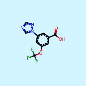 O=C(O)c1cc(OC(F)(F)F)cc(-n2cncn2)c1